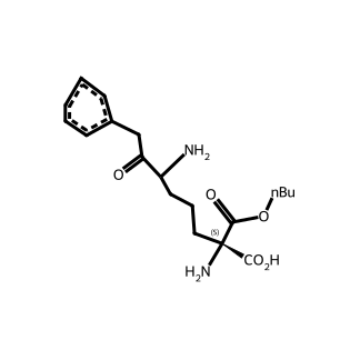 CCCCOC(=O)[C@](N)(CCCC(N)C(=O)Cc1ccccc1)C(=O)O